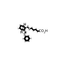 O=C(O)CCCCSC[C@H]1[C@@H](CSc2ccccc2)[C@H]2CC[C@@H]1O2